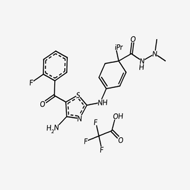 CC(C)C1(C(=O)NN(C)C)C=CC(Nc2nc(N)c(C(=O)c3ccccc3F)s2)=CC1.O=C(O)C(F)(F)F